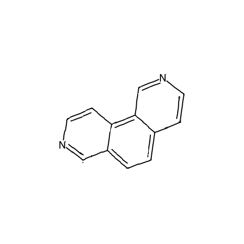 [c]1nccc2c1ccc1ccncc12